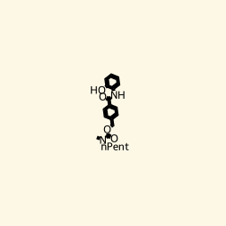 CCCCCN(C)C(=O)OCc1ccc(C(=O)Nc2ccccc2O)cc1